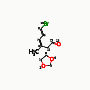 C1COCO1.CC(=CC=CBr)CC=O